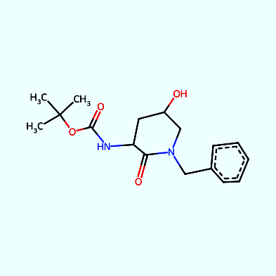 CC(C)(C)OC(=O)NC1CC(O)CN(Cc2ccccc2)C1=O